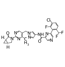 Cc1nc(N2C[C@H]3C[C@H]3C2=O)ncc1Cn1cc(NC(=O)c2cncc(-c3c(C(F)F)ccc(Cl)c3F)n2)cn1